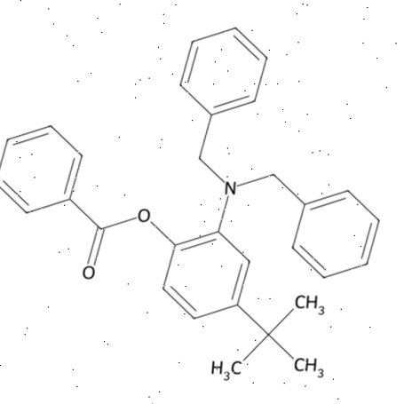 CC(C)(C)c1ccc(OC(=O)c2ccccc2)c(N(Cc2ccccc2)Cc2ccccc2)c1